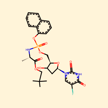 C[C@H](NP(=O)(OC[C@H]1O[C@@H](n2cc(F)c(=O)[nH]c2=O)CC1O)Oc1cccc2ccccc12)C(=O)OCC(C)(C)C